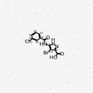 O=C(Nc1[nH]nc(C(=O)O)c1Br)c1cccc(Cl)c1